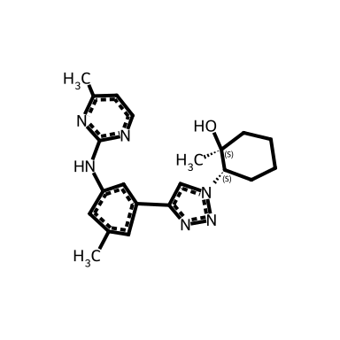 Cc1cc(Nc2nccc(C)n2)cc(-c2cn([C@H]3CCCC[C@]3(C)O)nn2)c1